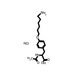 CC(=O)NC(Cc1ccc(OCCCCCCN)cc1)C(=O)O.Cl